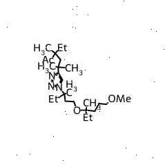 CCC(C)(CCCOC)OCCC(C)(CC)n1cc(C(C)(C)CC(C)(CC)C(C)=O)nn1